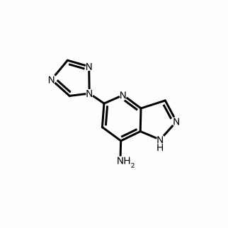 Nc1cc(-n2cncn2)nc2cn[nH]c12